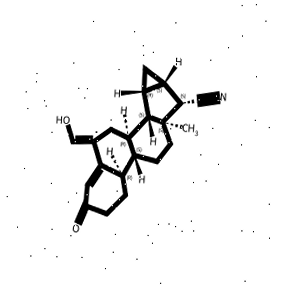 C[C@]12CC[C@H]3[C@@H](CC(=CO)C4=CC(=O)CC[C@@H]43)[C@@H]1[C@@H]1C[C@@H]1[C@@H]2C#N